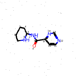 O=C(NC1CCCCN1)c1ccncn1